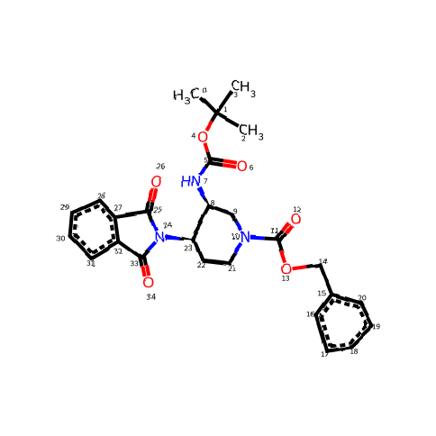 CC(C)(C)OC(=O)N[C@H]1CN(C(=O)OCc2ccccc2)CC[C@H]1N1C(=O)c2ccccc2C1=O